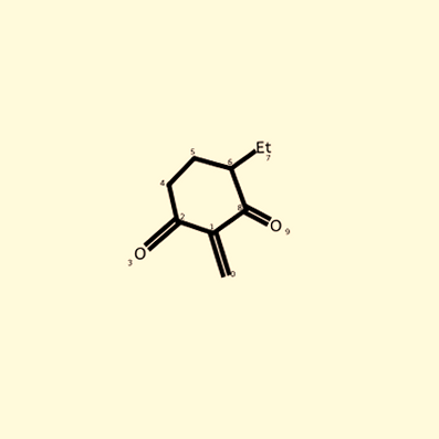 C=C1C(=O)CCC(CC)C1=O